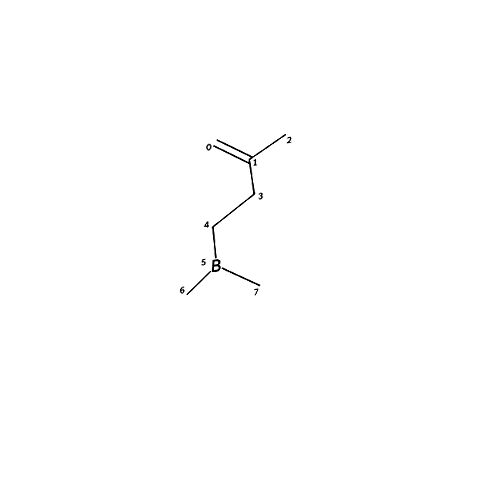 C=C(C)CCB(C)C